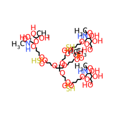 COP(=O)(OC)OCCCCOCC(COCCCOP(=O)(S)OCCCCOC1OC(CO)C(O)C(O)C1NC(C)=O)(COCCCOP(=O)(S)OCCCCOC1OC(CO)C(O)C(O)C1NC(C)=O)COCCCOP(=O)(S)OCCCCOC(OC(CO)[C@@H](C)O)[C@H](CO)NC(C)=O